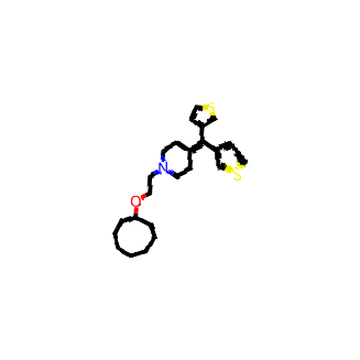 c1cc(C(=C2CCN(CCOC3CCCCCCC3)CC2)c2ccsc2)cs1